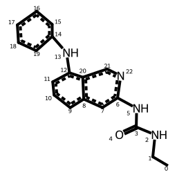 CCNC(=O)Nc1cc2cccc(Nc3ccccc3)c2cn1